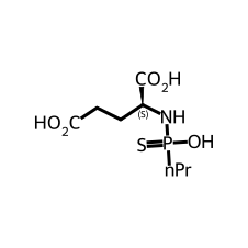 CCCP(O)(=S)N[C@@H](CCC(=O)O)C(=O)O